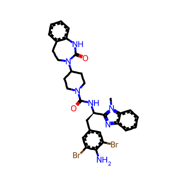 Cn1c([C@@H](Cc2cc(Br)c(N)c(Br)c2)NC(=O)N2CCC(N3CCc4ccccc4NC3=O)CC2)nc2ccccc21